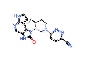 CC1CCN(c2ccc(C#N)nn2)CC1n1c(=O)[nH]c2cnc3[nH]ccc3c21